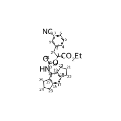 CCOC(=O)C(Cc1cccc(C#N)c1)OC(=O)Nc1c2c(cc3c1CCC3)CCC2